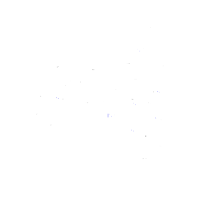 CS(=O)(=O)N1CCC(Nc2nc(Nc3ccc(F)c(C(=O)N4CCCC4)c3)nc(OCC(F)(F)F)n2)CC1